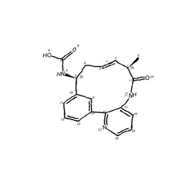 C[C@@H]1/C=C/C[C@H](NC(=O)O)c2cccc(c2)-c2ncccc2NC1=O